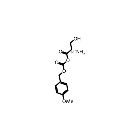 COc1ccc(COC(=O)OC(=O)[C@@H](N)CO)cc1